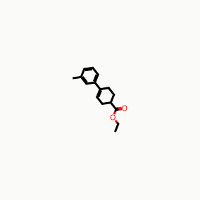 CCOC(=O)C1CC=C(c2cccc(C)c2)CC1